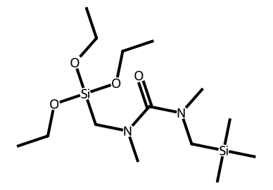 CCO[Si](CN(C)C(=O)N(C)C[Si](C)(C)C)(OCC)OCC